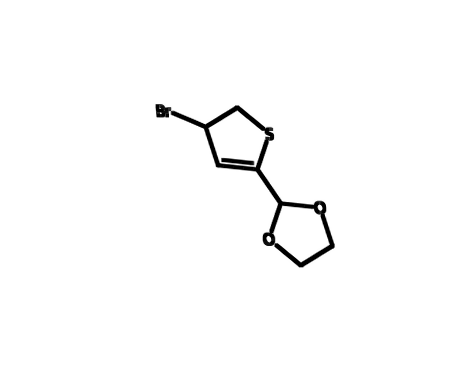 BrC1C=C(C2OCCO2)SC1